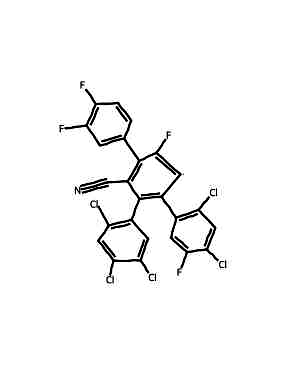 N#Cc1c(-c2ccc(F)c(F)c2)c(F)[c]c(-c2cc(F)c(Cl)cc2Cl)c1-c1cc(Cl)c(Cl)cc1Cl